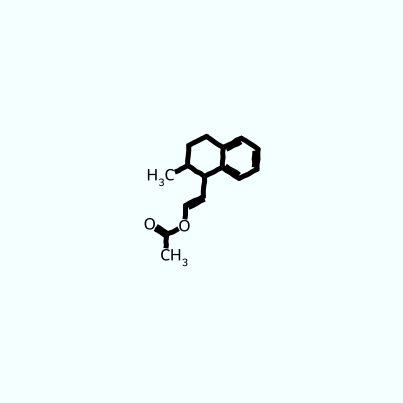 CC(=O)O/C=C/C1c2ccccc2CCC1C